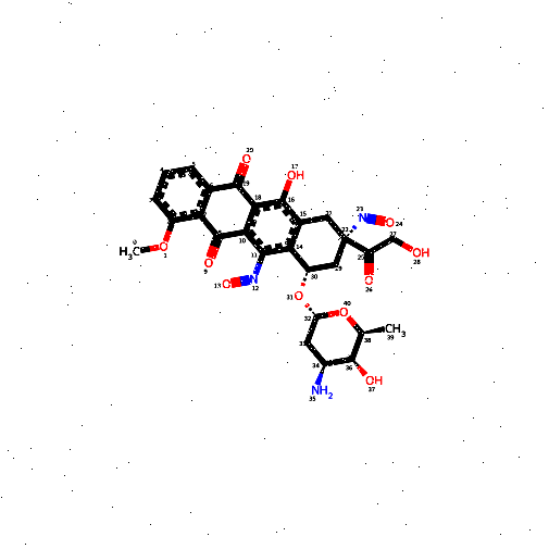 COc1cccc2c1C(=O)c1c(N=O)c3c(c(O)c1C2=O)C[C@@](N=O)(C(=O)CO)C[C@@H]3O[C@H]1C[C@H](N)[C@H](O)[C@H](C)O1